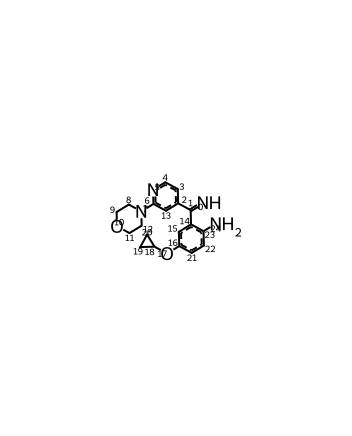 N=C(c1ccnc(N2CCOCC2)c1)c1cc(OC2CC2)ccc1N